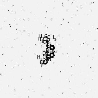 Cc1c(N2CCC(F)(F)C2)nc2ccc(Br)cc2c1C(=O)NCC(CCC(=O)OC(C)(C)C)c1ccccc1Cl